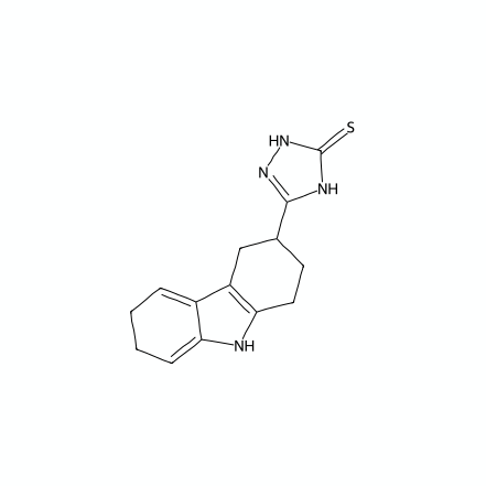 S=c1[nH]nc(C2CCc3[nH]c4c(c3C2)=CCCC=4)[nH]1